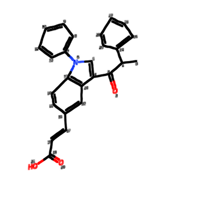 CC(C(=O)c1cn(-c2ccccc2)c2ccc(C=CC(=O)O)cc12)c1ccccc1